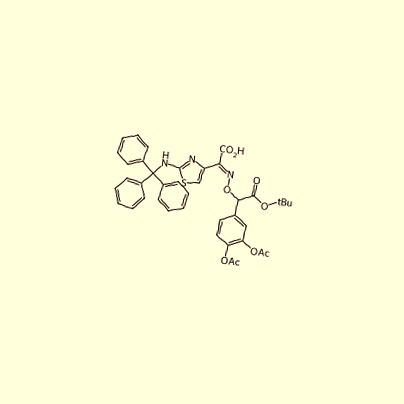 CC(=O)Oc1ccc(C(ON=C(C(=O)O)c2csc(NC(c3ccccc3)(c3ccccc3)c3ccccc3)n2)C(=O)OC(C)(C)C)cc1OC(C)=O